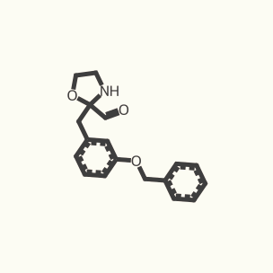 O=CC1(Cc2cccc(OCc3ccccc3)c2)NCCO1